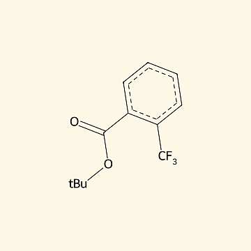 CC(C)(C)OC(=O)c1ccccc1C(F)(F)F